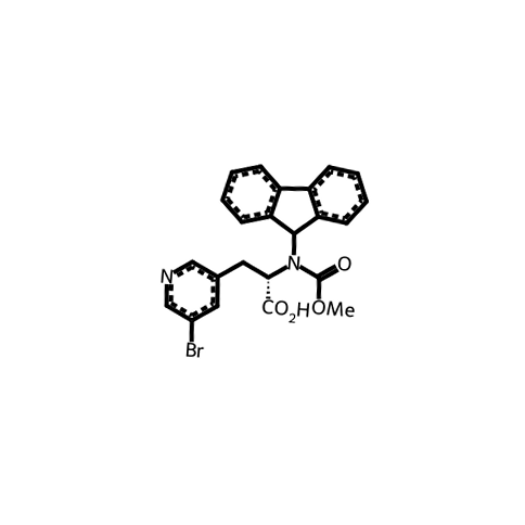 COC(=O)N(C1c2ccccc2-c2ccccc21)[C@@H](Cc1cncc(Br)c1)C(=O)O